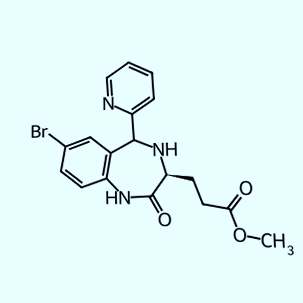 COC(=O)CC[C@@H]1NC(c2ccccn2)c2cc(Br)ccc2NC1=O